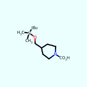 CC(C)(C)[Si](C)(C)OCC1CCN(C(=O)O)CC1